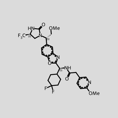 COC[C@H](c1ccc2oc([C@@H](NC(=O)Cc3ccc(OC)nc3)C3CCC(F)(F)CC3)nc2c1)N1C[C@@H](C(F)(F)F)NC1=O